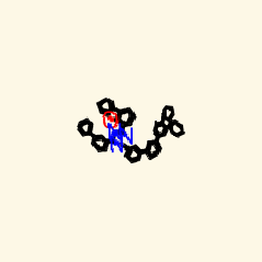 c1ccc(-c2cccc(-c3nc(-c4cccc(-c5cccc(-c6ccc7c(c6)C6(CCCCC6)c6ccccc6-7)c5)c4)nc(-c4cccc5c4oc4ccccc45)n3)c2)cc1